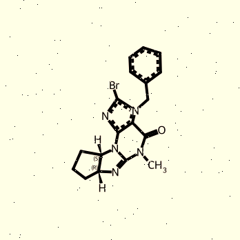 CN1C(=O)c2c(nc(Br)n2Cc2ccccc2)N2C1=N[C@@H]1CCC[C@@H]12